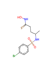 CC(CCC(=S)NO)NS(=O)(=O)c1ccc(Br)cc1